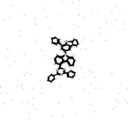 c1ccc(-c2nc(-c3ccccc3)nc(-c3cccc4c3c3ccccc3n4-c3cc(-c4ccccc4)c4sc5ccccc5c4c3)n2)cc1